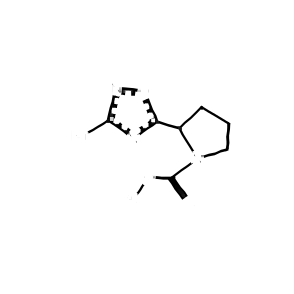 CC(C)(C)OC(=O)N1CCCC1c1nc(C(C)(C)C)no1